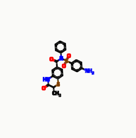 CC1Sc2ccc(C(=O)N(c3ccccc3)S(=O)(=O)c3ccc(N)cc3)cc2NC1=O